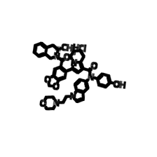 C[C@@H]1Cc2ccccc2CN1C(=O)c1cc2c(cc1-c1cc(C(=O)N(c3ccc(O)cc3)c3ccc4c(ccn4CCN4CCOCC4)c3)c3n1CCCC3)OCO2.Cl